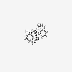 [CH2]Cc1ccccc1C(OC)(OC)c1ccccc1